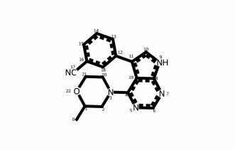 CC1CN(c2ncnc3[nH]cc(-c4cccc(C#N)c4)c23)CCO1